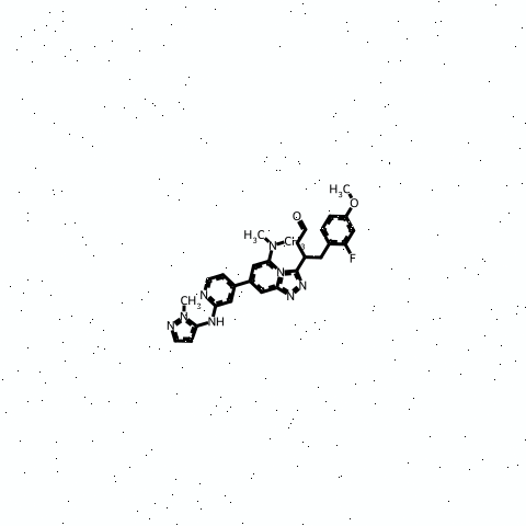 COc1ccc(CC(CC=O)c2nnc3cc(-c4ccnc(Nc5ccnn5C)c4)cc(N(C)C)n23)c(F)c1